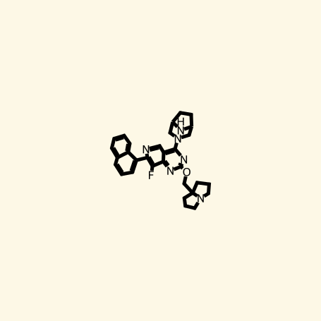 Fc1c(-c2cccc3ccccc23)ncc2c(N3CC4CCC(C3)N4)nc(OCC34CCCN3CCC4)nc12